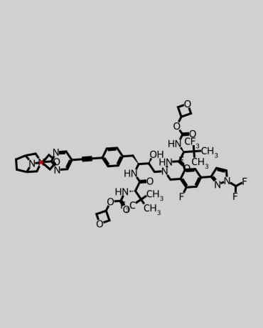 CC(C)([C@H](NC(=O)OC1COC1)C(=O)N[C@@H](Cc1ccc(C#Cc2cnc(N3CC4CCC(C3)N4C3COC3)nc2)cc1)[C@@H](O)CN(Cc1c(F)cc(-c2ccn(C(F)F)n2)cc1F)NC(=O)[C@@H](NC(=O)OC1COC1)C(C)(C)C(F)(F)F)C(F)(F)F